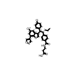 CCC[C@H](c1ccc(C(=O)NCCC(=O)O)cc1)C(c1ccc(Cl)cc1)c1csc2c(-c3cnoc3)cc(Cl)cc12